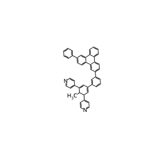 CC1C(c2ccncc2)=CC(c2cccc(-c3ccc4c5ccccc5c5cc(-c6ccccc6)ccc5c4c3)c2)=CC1c1ccncc1